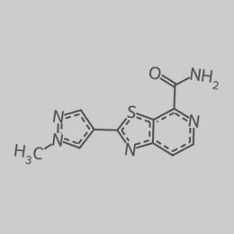 Cn1cc(-c2nc3ccnc(C(N)=O)c3s2)cn1